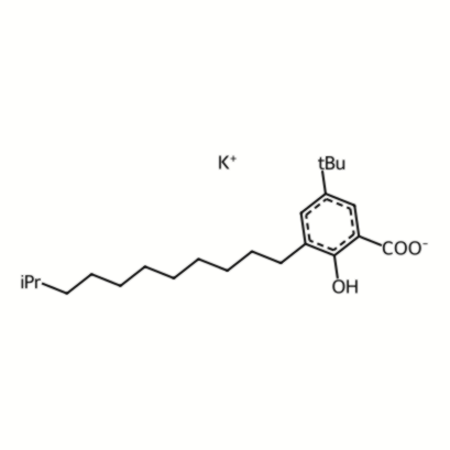 CC(C)CCCCCCCCCc1cc(C(C)(C)C)cc(C(=O)[O-])c1O.[K+]